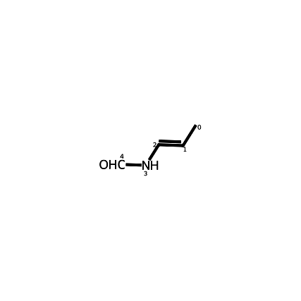 C/C=C/NC=O